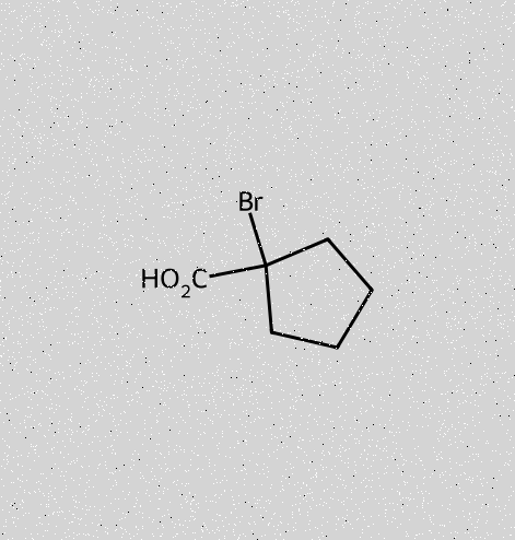 O=C(O)C1(Br)CCCC1